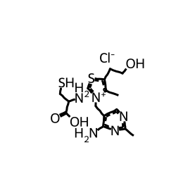 Cc1ncc(C[n+]2csc(CCO)c2C)c(N)n1.NC(CS)C(=O)O.[Cl-]